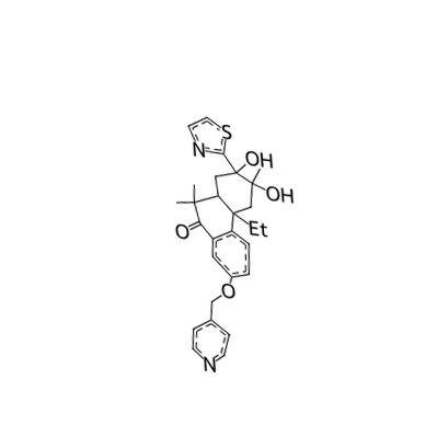 CCC12CC(C)(O)C(O)(c3nccs3)CC1C(C)(C)C(=O)c1cc(OCc3ccncc3)ccc12